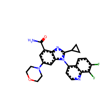 NC(=O)c1cc(N2CCOCC2)cc2c1nc(C1CC1)n2-c1ccnc2c(F)c(F)ccc12